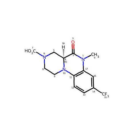 CN1C(=O)[C@@H]2CN(C(=O)O)CCN2c2ccc(C(F)(F)F)cc21